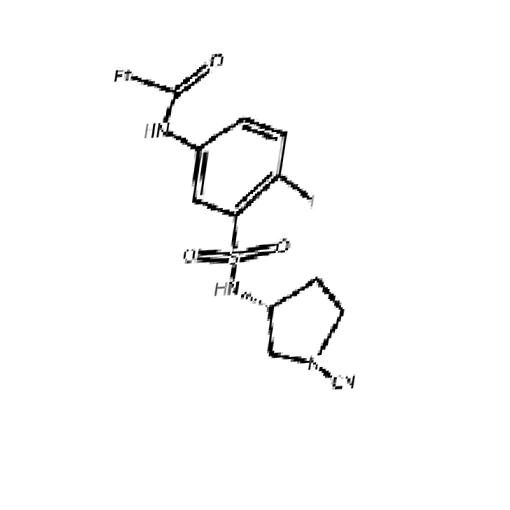 CCC(=O)Nc1ccc(I)c(S(=O)(=O)N[C@@H]2CCN(C#N)C2)c1